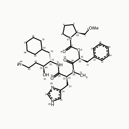 COC[C@@H]1CCCN1C(=O)O[C@@H](Cc1ccccc1)C(=O)N(C)[C@@H](Cc1c[nH]cn1)C(=O)N[C@@H](CC1CCCCC1)[C@@H](O)CCC(C)C